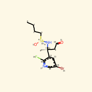 CCCC[S@@+]([O-])N[C@@](C)(CC=O)c1cc(Br)cnc1F